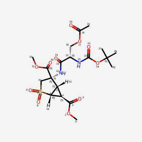 COC(=O)[C@@H]1[C@@H]2[C@H]1S(=O)(=O)C[C@@]2(NC(=O)[C@H](COC(C)=O)NC(=O)OC(C)(C)C)C(=O)OC